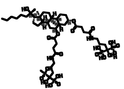 CCCCCC[C@](C)(O)[C@H]1CC[C@H]2[C@@H]3C[C@H](OC(=O)CCC(=O)NCCCC(O)(P(C)(=O)O)P(=O)(O)O)[C@H]4C[C@@H](OC(=O)CCC(=O)NCCCC(O)(P(=O)(O)O)P(=O)(O)O)CC[C@]4(C)[C@H]3CC[C@@]21C